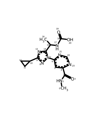 CNC(=O)c1cc(-n2nc(C3CC3)nc2C(C)NC(=O)O)ncn1